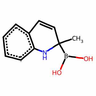 CC1(B(O)O)C=Cc2ccc[c]c2N1